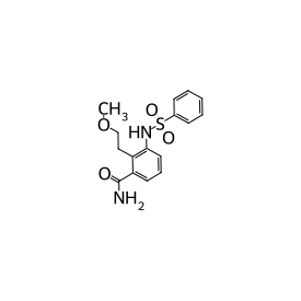 COCCc1c(NS(=O)(=O)c2ccccc2)cccc1C(N)=O